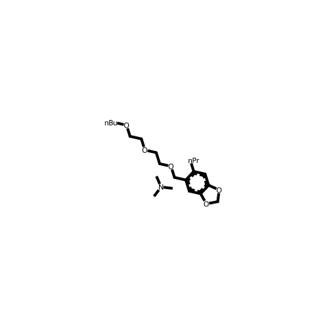 CCCCOCCOCCOCc1cc2c(cc1CCC)OCO2.CN(C)C